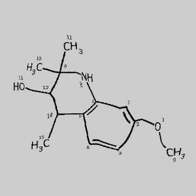 COc1ccc2c(c1)NC(C)(C)C(O)C2C